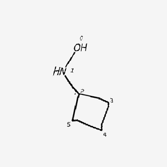 ON[C]1CCC1